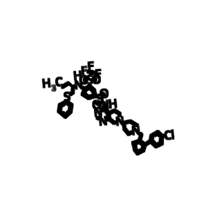 CCC[C@H](CSc1ccccc1)Nc1ccc(S(=O)(=O)Nc2ncnc3c2CCN(C2CCN(Cc4ccccc4-c4ccc(Cl)cc4)CC2)C3)cc1S(=O)(=O)C(F)(F)F